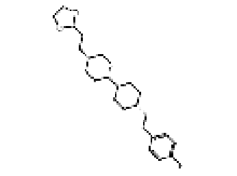 Fc1ccc(CC[C@H]2CC[C@H]([C@H]3CC[C@H](CCC4OCCO4)CC3)CC2)cc1